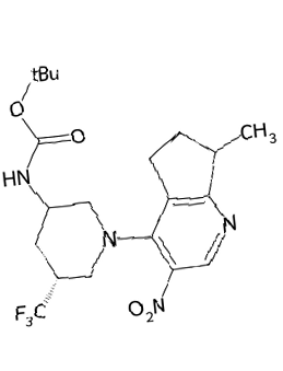 CC1CCc2c1ncc([N+](=O)[O-])c2N1CC(NC(=O)OC(C)(C)C)C[C@@H](C(F)(F)F)C1